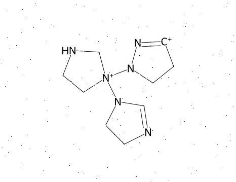 [C+]1=NN([N+]2(N3C=NCC3)CCNC2)CC1